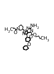 C=CC(=O)N1CCC[C@@H](n2nc(-c3ccc(Oc4ccccc4)cc3)c3c(C(=O)OCCCC)nc(N)nc32)C1